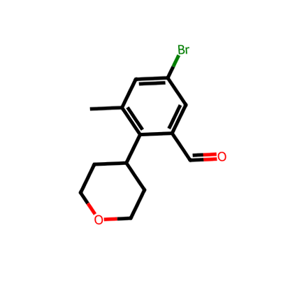 Cc1cc(Br)cc(C=O)c1C1CCOCC1